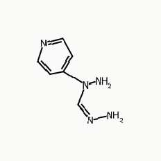 N/N=C\N(N)c1ccncc1